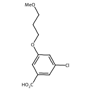 COCCCOc1cc(Cl)cc(C(=O)O)c1